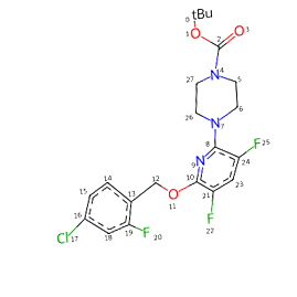 CC(C)(C)OC(=O)N1CCN(c2nc(OCc3ccc(Cl)cc3F)c(F)cc2F)CC1